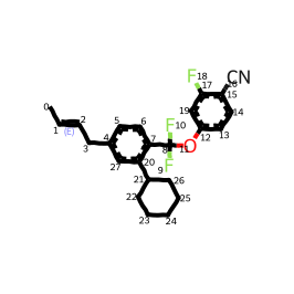 C/C=C/Cc1ccc(C(F)(F)Oc2ccc(C#N)c(F)c2)c(C2CCCCC2)c1